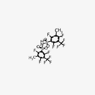 Cc1c(F)c(C(F)(F)F)c(F)c(S(=O)(=O)NS(=O)(=O)c2c(F)c(C)c(F)c(C(F)(F)F)c2F)c1F